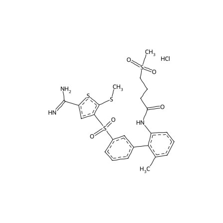 CSc1sc(C(=N)N)cc1S(=O)(=O)c1cccc(-c2c(C)cccc2NC(=O)CCCS(C)(=O)=O)c1.Cl